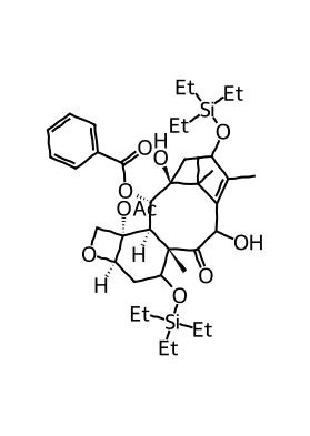 CC[Si](CC)(CC)OC1C[C@@]2(O)[C@@H](OC(=O)c3ccccc3)[C@@H]3[C@]4(OC(C)=O)CO[C@@H]4CC(O[Si](CC)(CC)CC)[C@@]3(C)C(=O)C(O)C(=C1C)C2(C)C